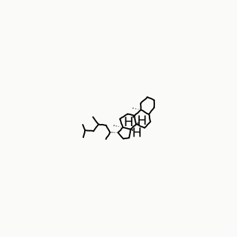 CC(C)CC(C)CC(C)[C@H]1CC[C@H]2[C@@H]3CCC4CCCC[C@]4(C)[C@H]3CC[C@]12C